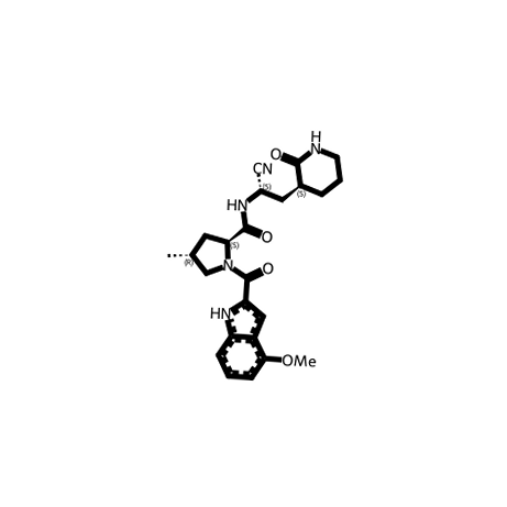 COc1cccc2[nH]c(C(=O)N3C[C@H](C)C[C@H]3C(=O)N[C@H](C#N)C[C@@H]3CCCNC3=O)cc12